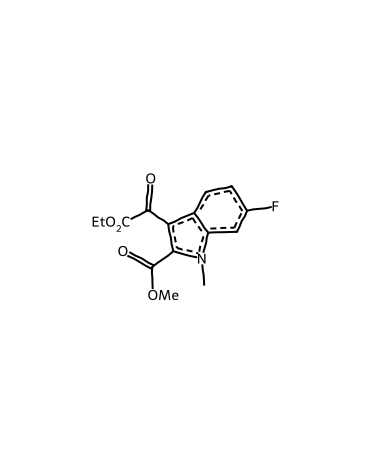 CCOC(=O)C(=O)c1c(C(=O)OC)n(C)c2cc(F)ccc12